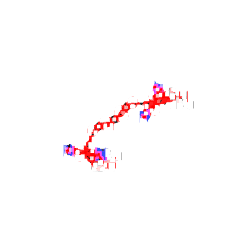 CN1C(C)(C)CC(OC(=O)C(CCCCCCOc2ccc(OC(=O)C3CCC(C(=O)Oc4ccc(OCCCCCCC(Cc5cc(C(C)(C)C)c(O)c(C(C)(C)C)c5)(C(=O)OC5CC(C)(C)N(C)C(C)(C)C5)C(=O)OC5CC(C)(C)N(C)C(C)(C)C5)cc4)CC3)cc2)(Cc2cc(C(C)(C)C)c(O)c(C(C)(C)C)c2)C(=O)OC2CC(C)(C)N(C)C(C)(C)C2)CC1(C)C